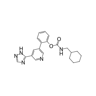 O=C(NCC1CCCCC1)Oc1ccccc1-c1cncc(-c2ncn[nH]2)c1